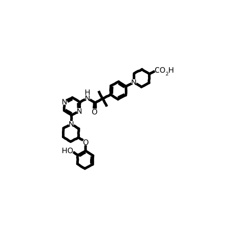 CC(C)(C(=O)Nc1cncc(N2CCCC(OC3=C(O)CCC=C3)C2)n1)c1ccc(N2CCC(C(=O)O)CC2)cc1